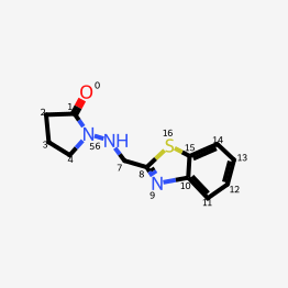 O=C1CCCN1NCc1nc2ccccc2s1